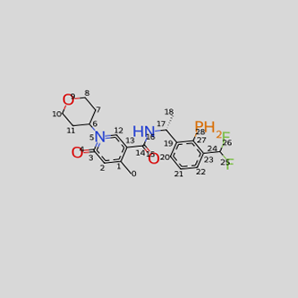 Cc1cc(=O)n(C2CCOCC2)cc1C(=O)N[C@H](C)c1cccc(C(F)F)c1P